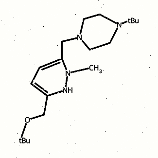 CN1NC(COC(C)(C)C)=CC=C1CN1CCN(C(C)(C)C)CC1